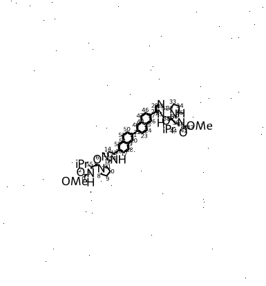 COC(=O)N[C@H](C(=O)N1CCC[C@H]1C1=NCC(c2ccc3cc(-c4ccc5cc(-c6cnc([C@@H]7CCCN7C(=O)[C@@H](NC(=O)OC)C(C)C)[nH]6)ccc5c4)ccc3c2)N1)C(C)C